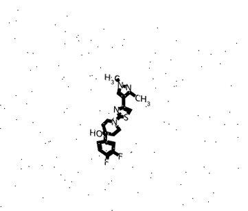 Cc1nn(C)cc1-c1csc(N2CCC(O)(c3ccc(F)c(F)c3)CC2)n1